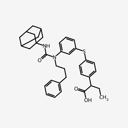 CCC(C(=O)O)c1ccc(Sc2cccc(N(CCCc3ccccc3)C(=O)NC34CC5CC(CC(C5)C3)C4)c2)cc1